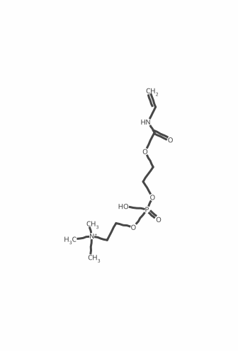 C=CNC(=O)OCCOP(=O)(O)OCC[N+](C)(C)C